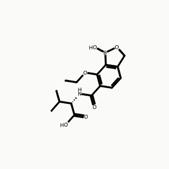 CCOc1c(C(=O)N[C@H](C(=O)O)C(C)C)ccc2c1B(O)OC2